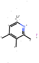 Cc1ccnc(C)c1C.[I-].[Li+]